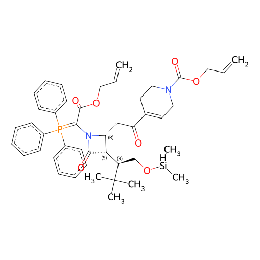 C=CCOC(=O)C(N1C(=O)[C@@H]([C@@H](CO[SiH](C)C)C(C)(C)C)[C@H]1CC(=O)C1=CCN(C(=O)OCC=C)CC1)=P(c1ccccc1)(c1ccccc1)c1ccccc1